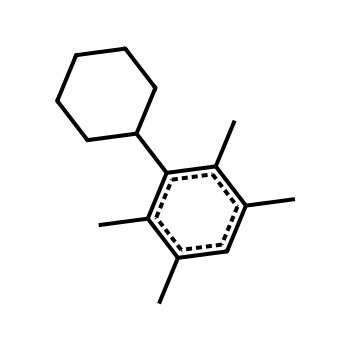 Cc1cc(C)c(C)c(C2CCCCC2)c1C